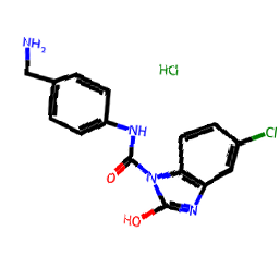 Cl.NCc1ccc(NC(=O)n2c(O)nc3cc(Cl)ccc32)cc1